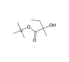 CCC(C)(O)C(=O)O[Si](C)(C)C